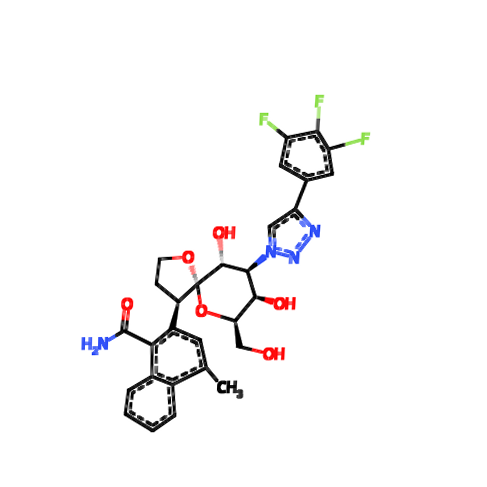 Cc1cc([C@H]2CCO[C@]23O[C@H](CO)[C@H](O)[C@H](n2cc(-c4cc(F)c(F)c(F)c4)nn2)[C@H]3O)c(C(N)=O)c2ccccc12